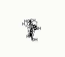 Cc1nc(-c2cnc3[nH]ccc3c2NC2C[C@@H]3CN(S(=O)(=O)NCCO)C[C@@H]3C2)sc1C(C)O